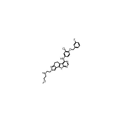 COCCN(C)CCn1cc2c(n1)CCc1c-2sc2ncnc(Nc3ccc(OCc4cccc(F)c4)c(Cl)c3)c12